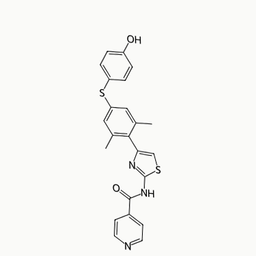 Cc1cc(Sc2ccc(O)cc2)cc(C)c1-c1csc(NC(=O)c2ccncc2)n1